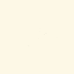 C=CC(=O)[N-]CCC[N+](C)(C)CCCl